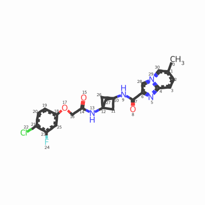 Cc1ccc2nc(C(=O)NC34CC(NC(=O)COc5ccc(Cl)c(F)c5)(C3)C4)cn2c1